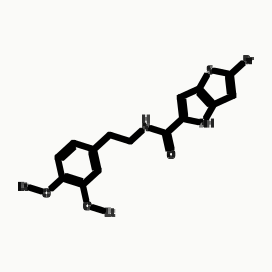 CCOc1ccc(CCNC(=O)c2cc3sc(Br)cc3[nH]2)cc1OCC